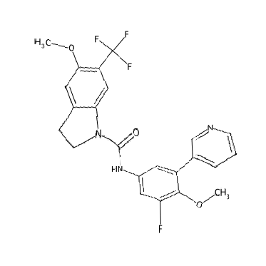 COc1cc2c(cc1C(F)(F)F)N(C(=O)Nc1cc(F)c(OC)c(-c3cccnc3)c1)CC2